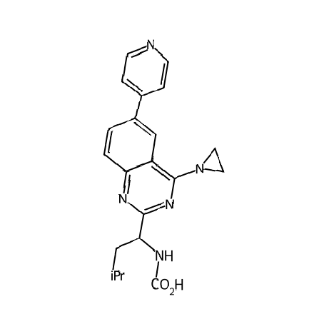 CC(C)CC(NC(=O)O)c1nc(N2CC2)c2cc(-c3ccncc3)ccc2n1